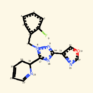 Fc1ccccc1Cn1nc(-c2cocn2)nc1C1CC=CC=N1